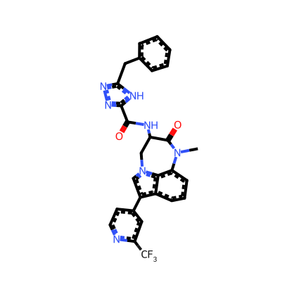 CN1C(=O)C(NC(=O)c2nnc(Cc3ccccc3)[nH]2)Cn2cc(-c3ccnc(C(F)(F)F)c3)c3cccc1c32